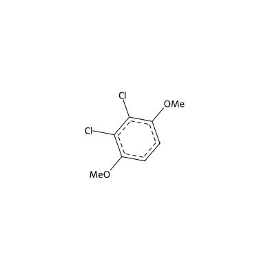 COc1ccc(OC)c(Cl)c1Cl